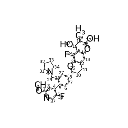 COc1cc(-c2ccc([C@H]3CCc4ccc([C@H](O)[C@H](C)C(=O)O)c(F)c4O3)cc2CN2CCCC2)c(F)cn1